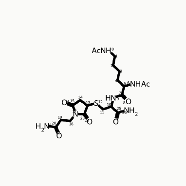 CC(=O)NCCCCC(NC(C)=O)C(=O)NC(CSC1CC(=O)N(CCC(N)=O)C1=O)C(N)=O